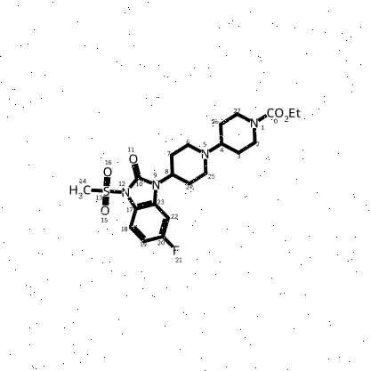 CCOC(=O)N1CCC(N2CCC(n3c(=O)n(S(C)(=O)=O)c4ccc(F)cc43)CC2)CC1